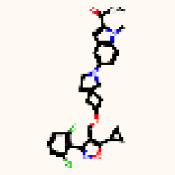 COC(=O)c1cc2cc(N3CCC4(CC(OCc5c(-c6c(Cl)cccc6Cl)noc5C5CC5)C4)C3)ccc2n1C